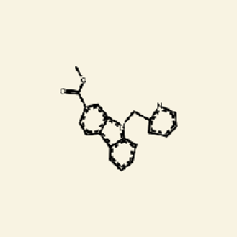 COC(=O)c1ccc2c3ccccc3n(Cc3ccccn3)c2c1